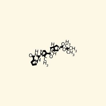 Cc1c(C(=O)N2C[C@@H]3CN(C(=O)OC(C)(C)C)C[C@@H]32)cnn1-c1nn2cccc2c(=O)[nH]1